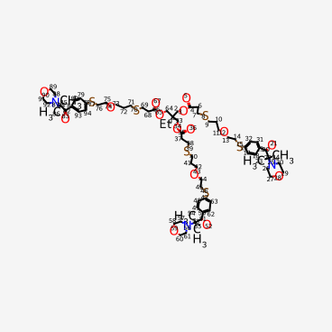 CCC(COC(=O)CCSCCCOCCSc1ccc(C(=O)C(C)(C)N2CCOCC2)cc1)(COC(=O)CCSCCCOCCSc1ccc(C(=O)C(C)(C)N2CCOCC2)cc1)COC(=O)CCSCCCOCCSc1ccc(C(=O)C(C)(C)N2CCOCC2)cc1